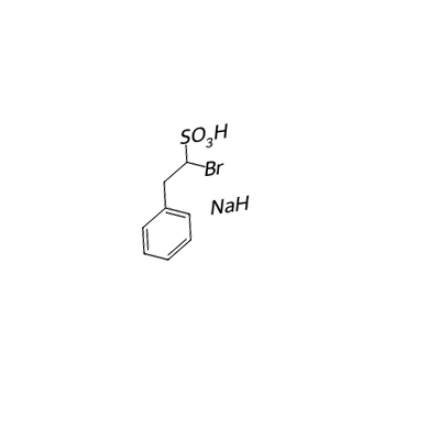 O=S(=O)(O)C(Br)Cc1ccccc1.[NaH]